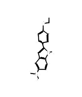 CCOc1ccc(-c2cc3cc(N(C)C)ccc3n2C)cc1